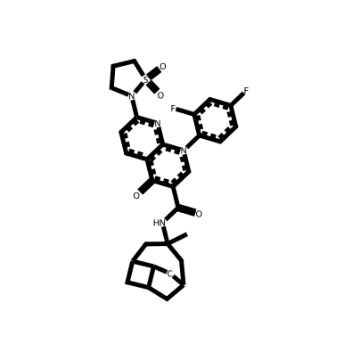 CC1(NC(=O)c2cn(-c3ccc(F)cc3F)c3nc(N4CCCS4(=O)=O)ccc3c2=O)CC2CC3CC(C1)C3C2